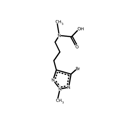 CN(CCCc1nn(C)nc1Br)C(=O)O